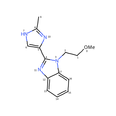 COCCn1c(-c2c[nH]c(C)n2)nc2ccccc21